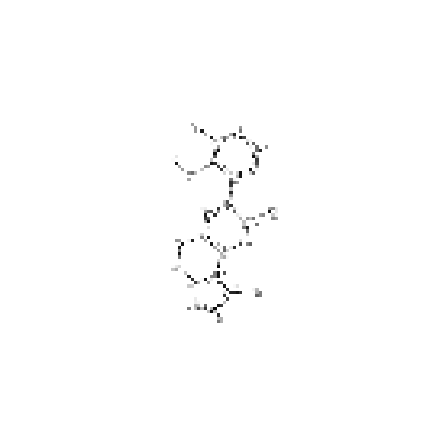 CCc1c(F)cncc1-c1cc2c(cc1Cl)-n1c(C)nnc1CC2